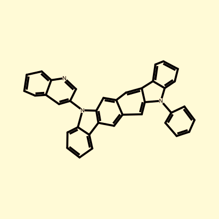 c1ccc(-n2c3ccccc3c3cc4cc5c(cc4cc32)c2ccccc2n5-c2cnc3ccccc3c2)cc1